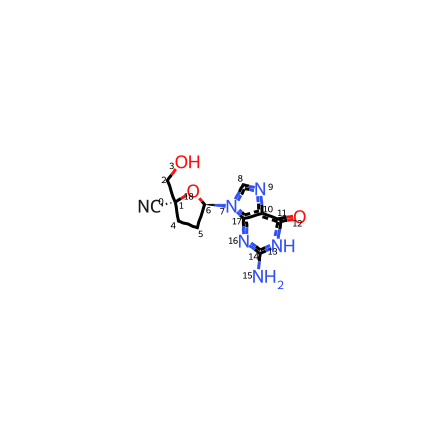 N#C[C@@]1(CO)CC[C@H](n2cnc3c(=O)[nH]c(N)nc32)O1